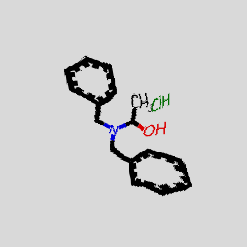 CC(O)N(Cc1ccccc1)Cc1ccccc1.Cl